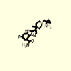 CC1(c2cnn3c2[nH]c2cc(F)cc(C(N)=O)c23)CCN(CC2(N)CC2)CC1